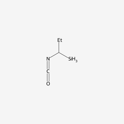 [CH2]CC([SiH3])N=C=O